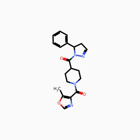 Cc1ocnc1C(=O)N1CCC(C(=O)N2N=CCC2c2ccccc2)CC1